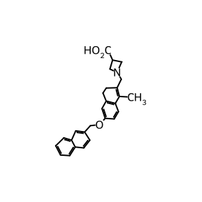 CC1=C(CN2CC(C(=O)O)C2)CCc2cc(OCc3ccc4ccccc4c3)ccc21